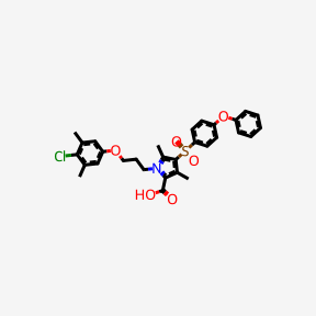 Cc1cc(OCCCn2c(C)c(S(=O)(=O)c3ccc(Oc4ccccc4)cc3)c(C)c2C(=O)O)cc(C)c1Cl